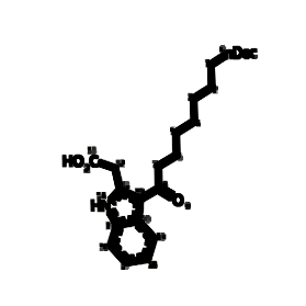 CCCCCCCCCCCCCCCCCC(=O)c1c(CC(=O)O)[nH]c2ccccc12